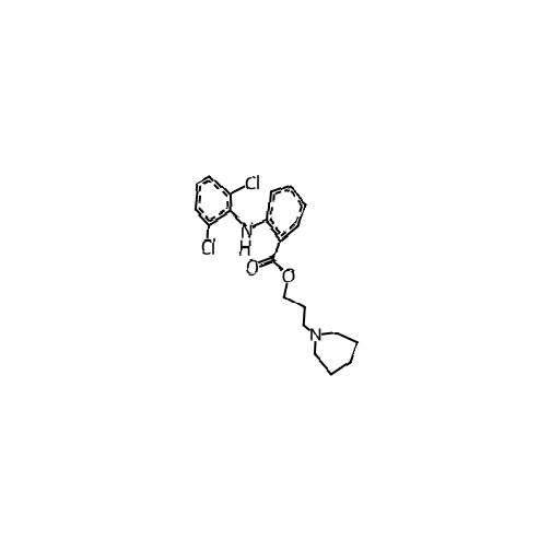 O=C(OCCCN1CCCCC1)c1ccccc1Nc1c(Cl)cccc1Cl